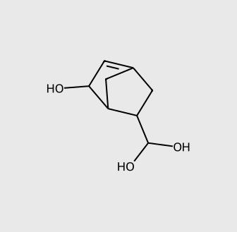 OC(O)C1CC2=CC(O)C1C2